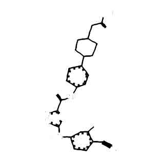 N#Cc1ccc(Nc2nnc(C(=O)Nc3ccc(C4CCC(CC(=O)O)CC4)cc3)o2)cc1Cl